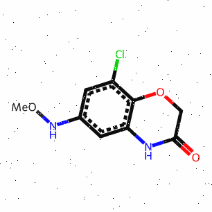 CONc1cc(Cl)c2c(c1)NC(=O)CO2